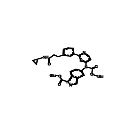 CC(C)(C)OC(=O)N(c1ccc2c(cnn2C(=O)OC(C)(C)C)c1)c1ccnc(-c2cccc(CCC(=O)NC3CC3)c2)n1